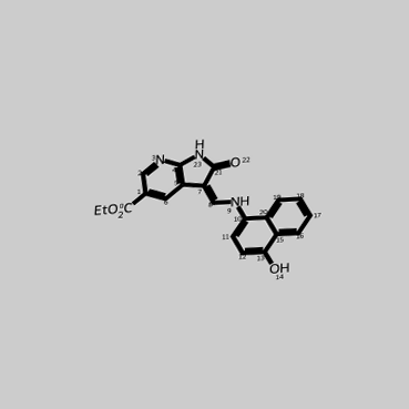 CCOC(=O)c1cnc2c(c1)/C(=C/Nc1ccc(O)c3ccccc13)C(=O)N2